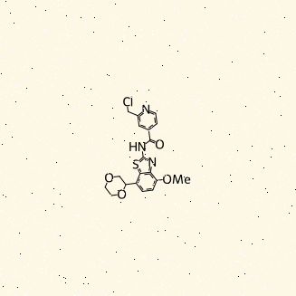 COc1ccc(C2COCCO2)c2sc(NC(=O)c3ccnc(CCl)c3)nc12